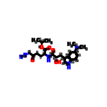 CC(C)OC(=O)[C@H](CCC(=O)C=[N+]=[N-])NC(=O)[C@@H](O)Cc1c[nH]c2ccc(N(C)C)cc12